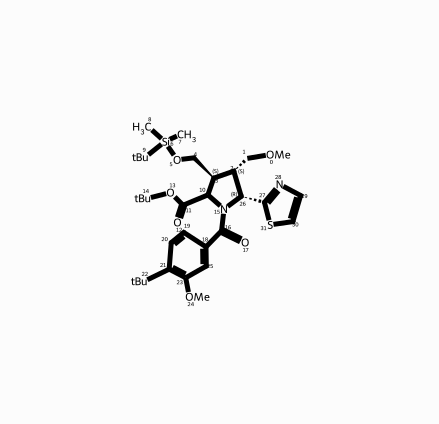 COC[C@H]1[C@H](CO[Si](C)(C)C(C)(C)C)C(C(=O)OC(C)(C)C)N(C(=O)c2ccc(C(C)(C)C)c(OC)c2)[C@H]1c1nccs1